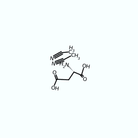 CC#N.CC#N.N[C@@H](CC(=O)O)C(=O)O